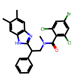 Cc1cc2nc(C(CN(C)C(=O)c3c(Cl)cc(Br)cc3Cl)c3ccccc3)[nH]c2cc1C